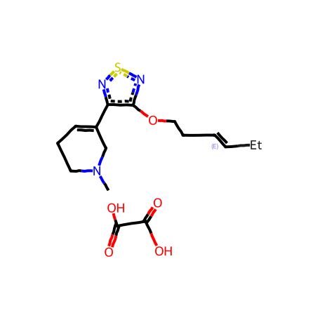 CC/C=C/CCOc1nsnc1C1=CCCN(C)C1.O=C(O)C(=O)O